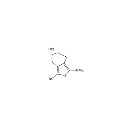 CNc1sc(C#N)c2c1CCCC2.Cl